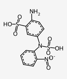 Nc1ccc(N(c2ccccc2[N+](=O)[O-])S(=O)(=O)O)cc1S(=O)(=O)O